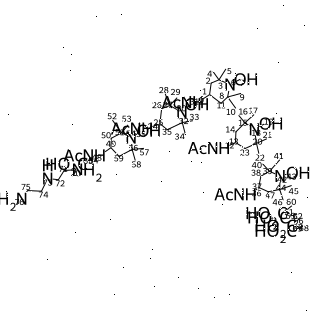 CC(=O)NC1CC(C)(C)N(O)C(C)(C)C1.CC(=O)NC1CC(C)(C)N(O)C(C)(C)C1.CC(=O)NC1CC(C)(C)N(O)C(C)(C)C1.CC(=O)NC1CC(C)(C)N(O)C(C)(C)C1.CC(=O)NC1CC(C)(C)N(O)C(C)(C)C1.CC(=O)O.CC(=O)O.CC(=O)O.CC(=O)O.CC(=O)O.NCCNCCN